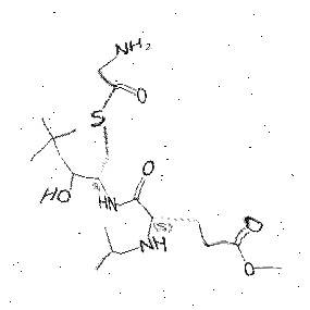 COC(=O)CC[C@H](NC(C)C)C(=O)N[C@@H](CSC(=O)CN)C(O)C(C)(C)C